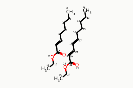 CCCCCC=CC(=O)OCC.CCCCCC=CC=CC(=O)OCC